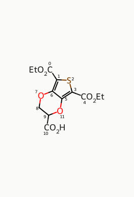 CCOC(=O)c1sc(C(=O)OCC)c2c1OCC(C(=O)O)O2